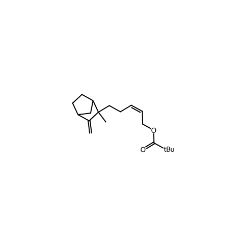 C=C1C2CCC(C2)C1(C)CC/C=C\COC(=O)C(C)(C)C